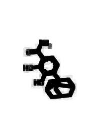 NC(=O)c1ccc(C23CC4CC(CC(C4)C2)C3)c(O)c1O